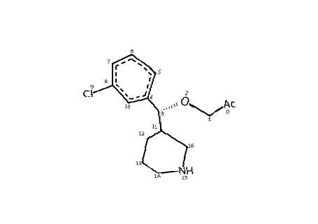 CC(=O)CO[C@@H](c1cccc(Cl)c1)C1CCCNC1